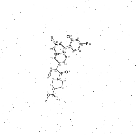 COC(=O)C1CCN(C(=O)C(C=O)c2ccc3c(-c4ccc(F)cc4Cl)cc(=O)oc3c2)CC1